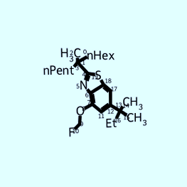 CCCCCCC(C)(CCCCC)c1nc2c(OCF)cc(C(C)(C)CC)cc2s1